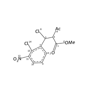 COC(=O)C(C(C)=O)C(Cl)c1cccc([N+](=O)[O-])c1Cl